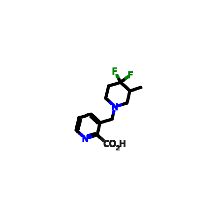 CC1CN(Cc2cccnc2C(=O)O)CCC1(F)F